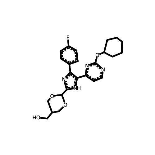 OCC1COC(c2nc(-c3ccc(F)cc3)c(-c3ccnc(OC4CCCCC4)n3)[nH]2)OC1